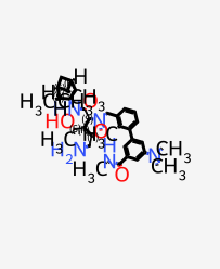 CNC(=O)c1cc(-c2cccc(CN3O[C@@H](CN)[C@@H]([C@H](C)O)[C@H]3C(=O)NC3C[C@H]4C[C@@H]([C@@H]3C)C4(C)C)c2C)cc(N(C)C)c1